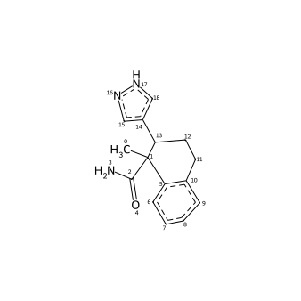 CC1(C(N)=O)c2ccccc2CCC1c1cn[nH]c1